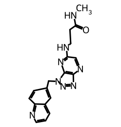 CNC(=O)CCNc1cnc2nnn(Cc3ccc4ncccc4c3)c2n1